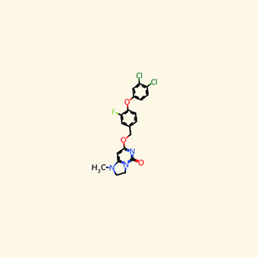 CN1CCn2c1cc(OCc1ccc(Oc3ccc(Cl)c(Cl)c3)c(F)c1)nc2=O